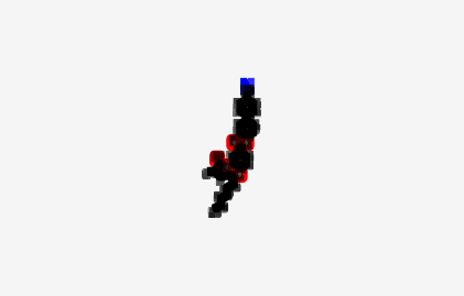 C=C1CC(C(CCCCCC)Oc2ccc(C(=O)Oc3ccc(-c4ccc(C#N)cc4)cc3)cc2)OC1=O